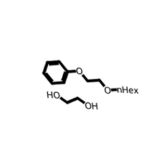 CCCCCCOCCOc1ccccc1.OCCO